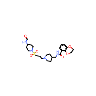 O=CNC1CCN(S(=O)(=O)CCCN2CCC(CNC(=O)c3cccc4c3OCCO4)CC2)CC1